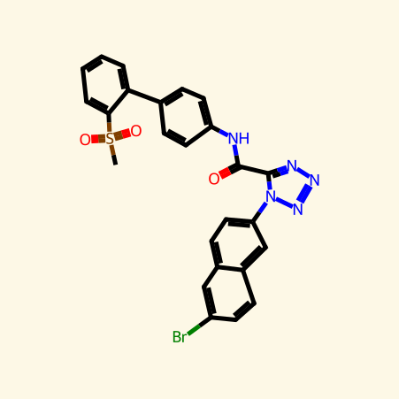 CS(=O)(=O)c1ccccc1-c1ccc(NC(=O)c2nnnn2-c2ccc3cc(Br)ccc3c2)cc1